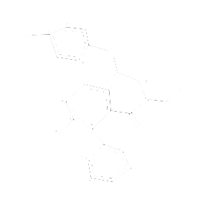 CCN(C(=O)c1cccc(C)c1-c1ncccn1)[C@@H](C)COc1ccc(Br)cn1